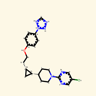 Clc1cnc(N2CCC([C@@H]3C[C@@H]3CCOc3ccc(-n4ncnn4)cc3)CC2)nc1